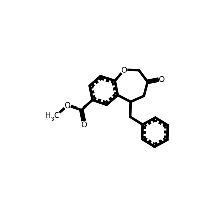 COC(=O)c1ccc2c(c1)C(Cc1ccccc1)CC(=O)CO2